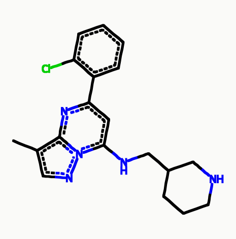 Cc1cnn2c(NCC3CCCNC3)cc(-c3ccccc3Cl)nc12